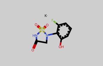 O=C1CN(c2c(O)cccc2F)S(=O)(=O)N1.[K]